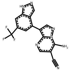 N#Cc1cnc2c(-c3cc(C(F)(F)F)cc4[nH]ncc34)cnn2c1N